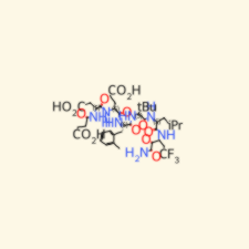 Cc1ccccc1C[C@H](NC(=O)[C@H](CCC(=O)O)NC(=O)[C@H](CC(=O)O)NC(=O)CCC(=O)O)C(=O)N[C@H](C(=O)N[C@@H](CC(C)C)C(=O)NC(CC(F)(F)F)C(=O)C(N)=O)C(C)(C)C